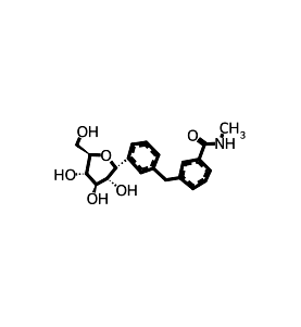 CNC(=O)c1cccc(Cc2cccc([C@H]3O[C@H](CO)[C@@H](O)[C@H](O)[C@H]3O)c2)c1